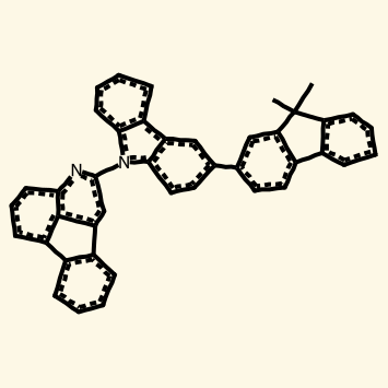 CC1(C)c2ccccc2-c2ccc(-c3ccc4c(c3)c3ccccc3n4-c3cc4c5c(cccc5n3)-c3ccccc3-4)cc21